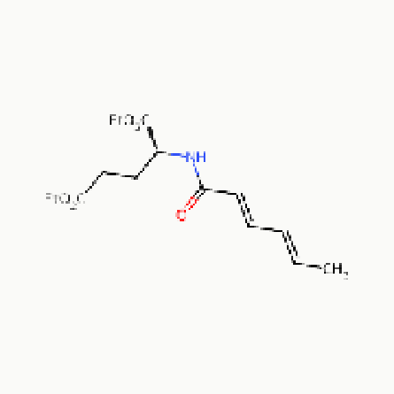 C/C=C/C=C/C(=O)N[C@@H](CCC(=O)OCC)C(=O)OCC